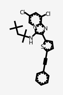 CC(C)(C)CC(C)(C)Nc1c(-c2ccc(C#Cc3ccccc3)s2)nc2c(Cl)cc(Cl)cn12